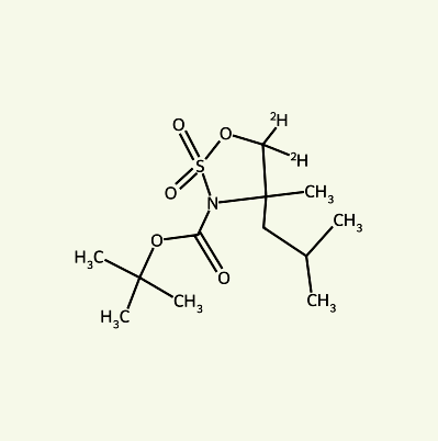 [2H]C1([2H])OS(=O)(=O)N(C(=O)OC(C)(C)C)C1(C)CC(C)C